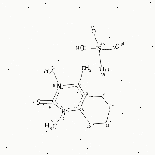 Cc1c2c([n+](C)c(=S)n1C)CCCC2.O=S(=O)([O-])O